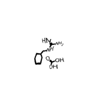 N=C(N)NCC1CCCCC1.O=C(O)O